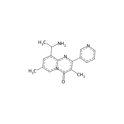 Cc1cc(C(C)N)c2nc(-c3cccnc3)c(C)c(=O)n2c1